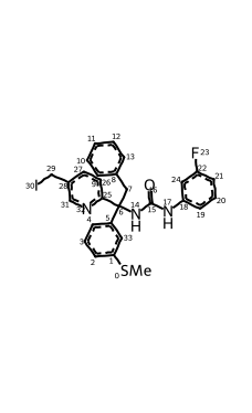 CSc1cccc(C(Cc2ccccc2)(NC(=O)Nc2cccc(F)c2)c2ccc(CI)cn2)c1